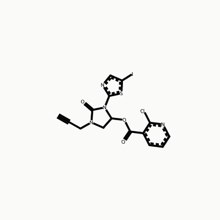 C#CCN1CC(OC(=O)c2cccnc2Cl)N(c2ncc(I)s2)C1=O